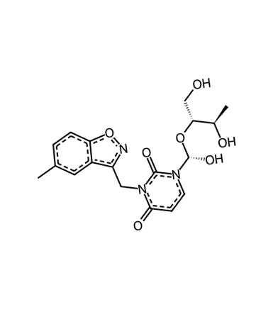 Cc1ccc2onc(Cn3c(=O)ccn([C@@H](O)O[C@H](CO)[C@@H](C)O)c3=O)c2c1